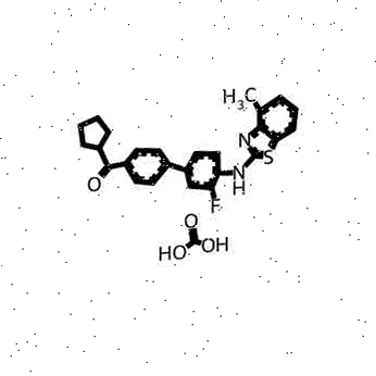 Cc1cccc2sc(Nc3ccc(-c4ccc(C(=O)C5CCCC5)cc4)cc3F)nc12.O=C(O)O